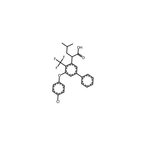 CC(C)CC(C(=O)O)c1cc(-c2ccccc2)cc(Oc2ccc(Cl)cc2)c1C(F)(F)F